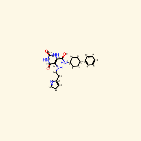 O=C(N[C@H]1CC[C@@H](c2ccccc2)CC1)c1[nH]c(=O)[nH]c(=O)c1NCCC1=CCC=N1